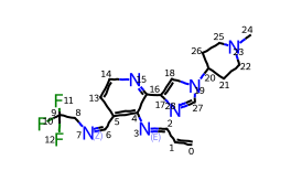 C=C/C=N/c1c(/C=N\CC(F)(F)F)ccnc1-c1cn(C2CCN(C)CC2)cn1